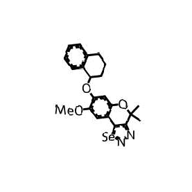 COc1cc2c(cc1OC1CCCc3ccccc31)OC(C)(C)c1nn[se]c1-2